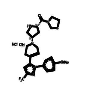 COc1ccc(-n2nc(C(F)(F)F)cc2C2=CCN([C@@H]3CN[C@H](C(=O)N4CCSC4)C3)CC2)cc1.Cl.Cl